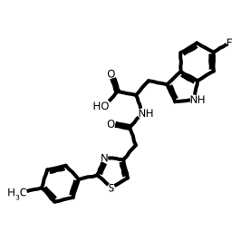 Cc1ccc(-c2nc(CC(=O)NC(Cc3c[nH]c4cc(F)ccc34)C(=O)O)cs2)cc1